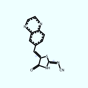 N#C/N=C1\NC(=O)/C(=C/c2ccc3nccnc3c2)S1